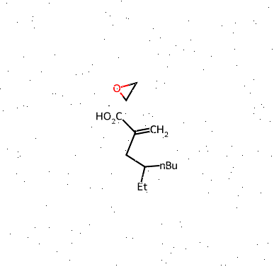 C1CO1.C=C(CC(CC)CCCC)C(=O)O